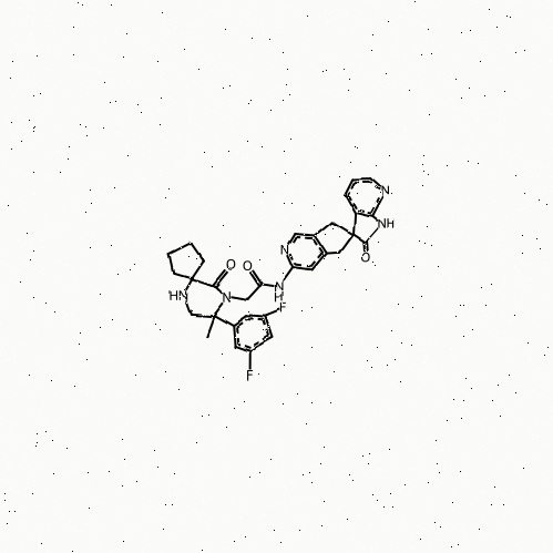 CC1(c2cc(F)cc(F)c2)CNC2(CCCC2)C(=O)N1CC(=O)Nc1cc2c(cn1)CC1(C2)C(=O)Nc2ncccc21